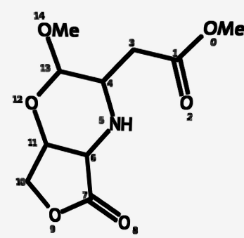 COC(=O)CC1NC2C(=O)OCC2OC1OC